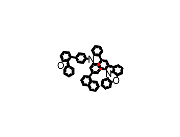 c1cc(-c2cccc3ccccc23)cc(N(c2ccc(-c3cccc4oc5ccccc5c34)cc2)c2ccccc2-c2ccc3c(c2)c2cccc4c2n3-c2ccccc2O4)c1